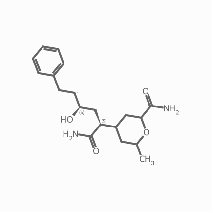 CC1CC([C@H](C[C@@H](O)[CH]Cc2ccccc2)C(N)=O)CC(C(N)=O)O1